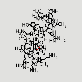 CSCC[C@H](NC(=O)[C@H](CO)NC(=O)[C@H](CCCNC(=N)N)NC(=O)[C@H](CC(C)C)NC(=O)[C@H](CCCCN)NC(=O)[C@@H](C)CCCCN)C(=O)N[C@H](C(=O)N[C@@H](CC(=O)O)C(=O)N[C@@H](CCCCN)C(=O)N[C@@H](Cc1ccc(O)cc1)C(=O)N[C@@H](CCCNC(=N)N)C(=O)N[C@@H](CC(C)C)C(=O)N[C@@H](Cc1cnc[nH]1)C(=O)N[C@@H](CC(C)C)C(N)=O)[C@@H](C)O